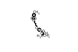 Cc1ccc(S(=O)(=O)OCCCCCOC2CCN(C(=O)OC(C)(C)C)CC2)cc1